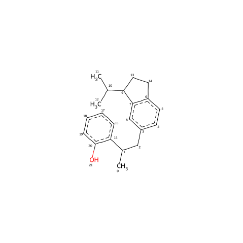 CC(Cc1ccc2c(c1)C(C(C)C)CC2)c1ccccc1O